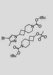 CC(C)(C)OC(=O)N1CCC2(CC1)CC(OS(C)(=O)=O)C2.Cc1nn(C2CC3(CCN(C(=O)OC(C)(C)C)CC3)C2)cc1Br